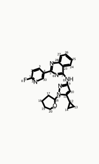 Fc1ccc(-c2nc(Nc3cc(C4CC4)n(C4CCCCO4)n3)c3ccccc3n2)cn1